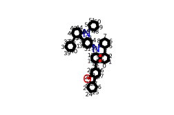 c1ccc(-c2ccccc2N(c2ccc(-c3ccc4c(c3)oc3ccccc34)cc2)c2ccc3c4c(-c5ccccc5)cccc4n(-c4ccccc4)c3c2)cc1